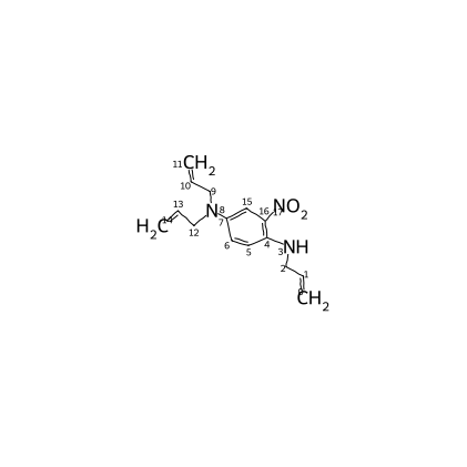 C=CCNc1ccc(N(CC=C)CC=C)cc1[N+](=O)[O-]